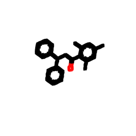 Cc1cc(C)c(C(=O)CC(c2ccccc2)c2ccccc2)c(C)c1